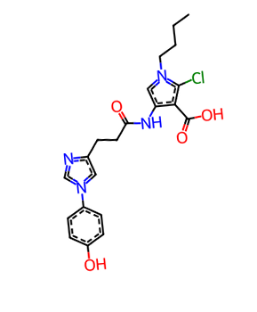 CCCCn1cc(NC(=O)CCc2cn(-c3ccc(O)cc3)cn2)c(C(=O)O)c1Cl